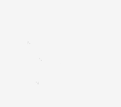 Cc1ccc(C#N)c(-c2ccncn2)c1-c1ccccc1